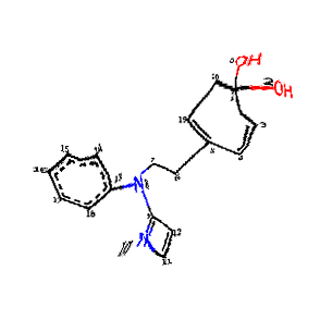 OC1(O)C=CC(CCN(C2=NC=C2)c2ccccc2)=CC1